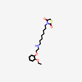 CCOc1ccccc1OCCNCCCCCCCCN1C(=O)CSC1=O